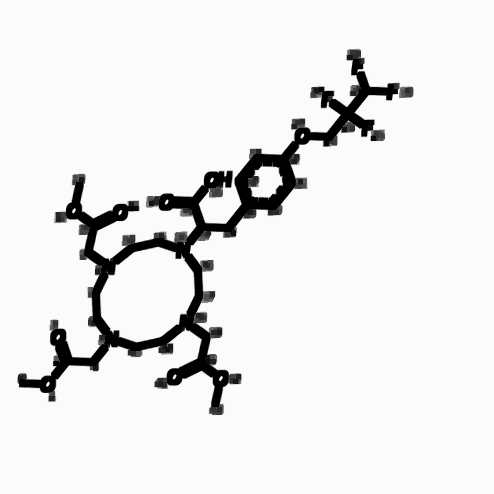 COC(=O)CN1CCN(CC(=O)OC)CCN(C(Cc2ccc(OCC(F)(F)C(F)F)cc2)C(=O)O)CCN(CC(=O)OC)CC1